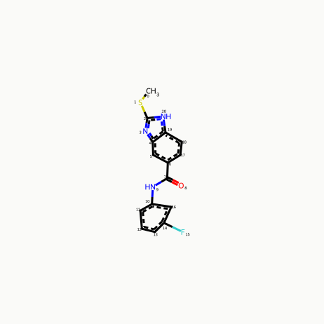 CSc1nc2cc(C(=O)Nc3cccc(F)c3)ccc2[nH]1